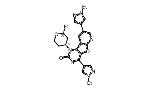 CC[C@H]1C[C@@H](n2c(=O)nc(-c3cnn(CC)c3)c3oc4ncc(-c5cnn(CC)c5)cc4c32)CCO1